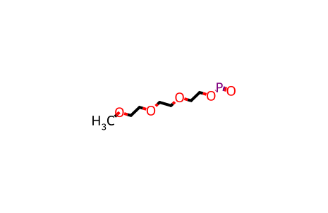 COCCOCCOCCOP=O